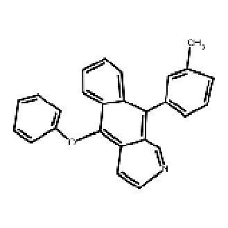 Cc1cccc(-c2c3ccccc3c(Oc3ccccc3)c3ccncc23)c1